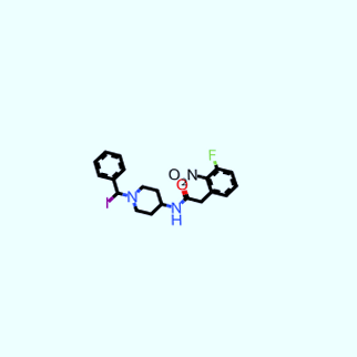 O=C(Cc1cccc(F)c1[N+](=O)[O-])NC1CCN(C(I)c2ccccc2)CC1